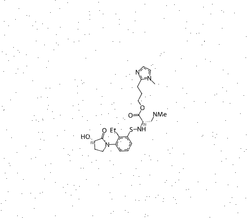 CCc1c(SN[C@@H](CNC)C(=O)OCCCc2nccn2C)cccc1N1CC[C@H](O)C1=O